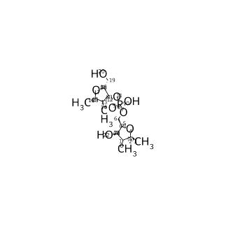 CC1[C@H](C)O[C@H](COP(=O)(O)O[C@@H]2C(C)[C@H](C)O[C@@H]2CO)[C@@H]1O